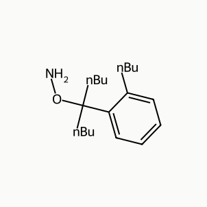 CCCCc1ccccc1C(CCCC)(CCCC)ON